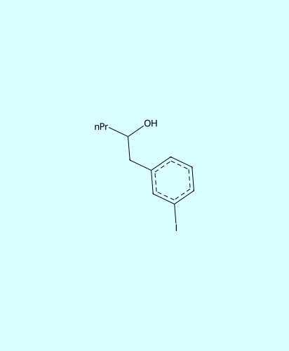 CCCC(O)Cc1cccc(I)c1